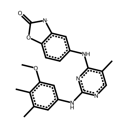 COc1cc(Nc2ncc(C)c(Nc3ccc4c(c3)[N]C(=O)O4)n2)cc(C)c1C